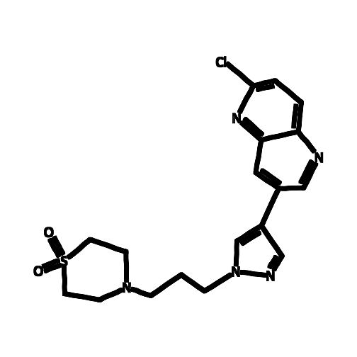 O=S1(=O)CCN(CCCn2cc(-c3cnc4ccc(Cl)nc4c3)cn2)CC1